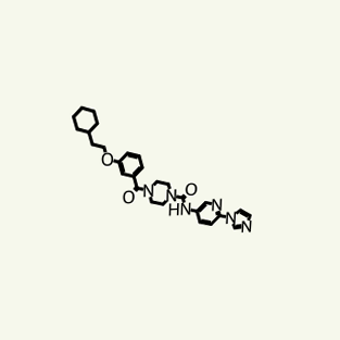 O=C(Nc1ccc(-n2ccnc2)nc1)N1CCN(C(=O)c2cccc(OCCC3CCCCC3)c2)CC1